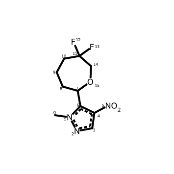 Cn1ncc([N+](=O)[O-])c1C1CCCC(F)(F)CO1